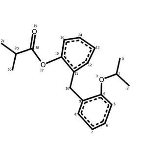 CC(C)Oc1ccccc1Cc1ccccc1OC(=O)C(C)C